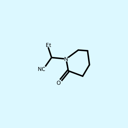 CCC(C#N)N1CCCCC1=O